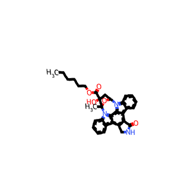 CCCCCCOC(=O)C1(O)CC2OC1(C)n1c3ccccc3c3c4c(c5c6ccccc6n2c5c31)C(=O)NC4